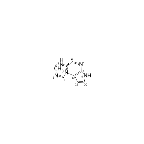 C/N=C\n1c(=N)cnc2[nH]ccc21